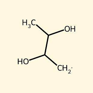 [CH2]C(O)C(C)O